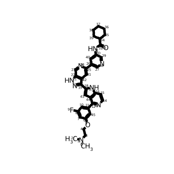 CN(C)CCOc1cc(F)cc(-c2nccc3[nH]c(-c4n[nH]c5cnc(-c6cncc(NC(=O)C7CCCCC7)c6)cc45)cc23)c1